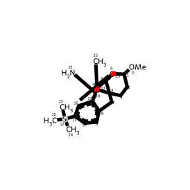 COC1CCC2(CC1)Cc1ccc([Si](C)(C)C)cc1C21N=C(N)N(C)C1=O